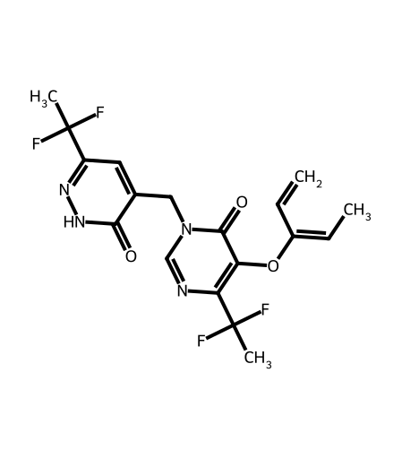 C=C/C(=C\C)Oc1c(C(C)(F)F)ncn(Cc2cc(C(C)(F)F)n[nH]c2=O)c1=O